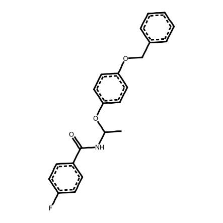 CC(NC(=O)c1ccc(F)cc1)Oc1ccc(OCc2ccccc2)cc1